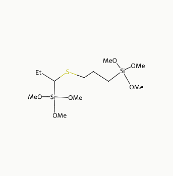 CCC(SCCC[Si](OC)(OC)OC)[Si](OC)(OC)OC